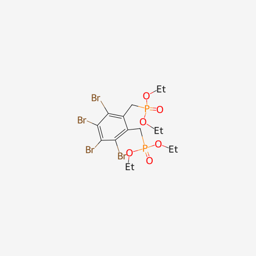 CCOP(=O)(Cc1c(Br)c(Br)c(Br)c(Br)c1CP(=O)(OCC)OCC)OCC